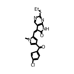 CCSc1ncc2c(n1)NC(=O)C2=Cc1cc(C(=O)c2ccc(Cl)cc2)cn1C